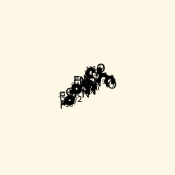 N#CC(=CC1CCOCC1)C(=O)N1CCC[C@@H](n2nc(-c3ccc(Oc4cccc(F)c4F)cc3F)c3c(N)ncnc32)C1